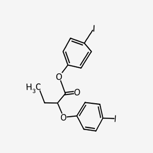 CCC(Oc1ccc(I)cc1)C(=O)Oc1ccc(I)cc1